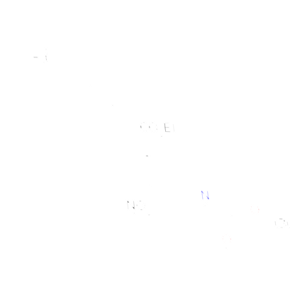 CCOC(=O)C1(C(C[N+](=O)[O-])c2ccc(C(F)(F)F)cc2)CCN(C(=O)OC(C)(C)C)CC1